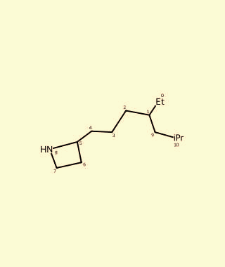 CCC(CCCC1CCN1)CC(C)C